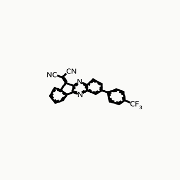 N#CC(C#N)=C1c2ccccc2-c2nc3cc(-c4ccc(C(F)(F)F)cc4)ccc3nc21